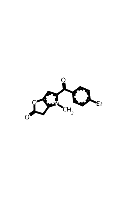 CCc1ccc(C(=O)c2cc3c(n2C)CC(=O)O3)cc1